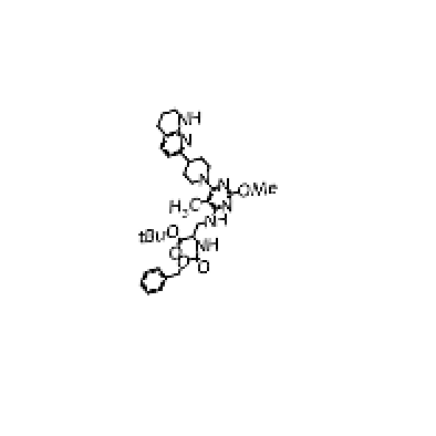 COc1nc(NCC(NC(=O)OCc2ccccc2)C(=O)OC(C)(C)C)c(C)c(N2CCC(c3ccc4c(n3)NCCC4)CC2)n1